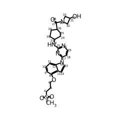 CS(=O)(=O)CCCOc1cccc2c1ccn2-c1ccnc(NC2CCC(C(=O)N3CC(O)C3)CC2)n1